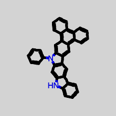 c1ccc(-n2c3cc4[nH]c5ccccc5c4cc3c3cc4c5ccccc5c5ccccc5c4cc32)cc1